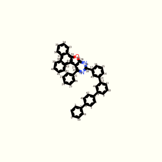 c1ccc(-c2ccc(-c3cccc(-c4cccc(-c5nc(-c6ccccc6)c6c(n5)oc5c7ccccc7c7ccccc7c56)c4)c3)cc2)cc1